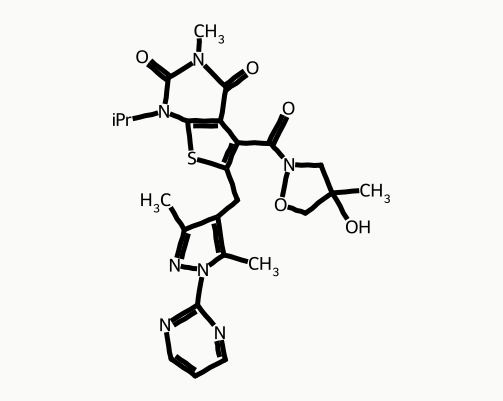 Cc1nn(-c2ncccn2)c(C)c1Cc1sc2c(c1C(=O)N1CC(C)(O)CO1)c(=O)n(C)c(=O)n2C(C)C